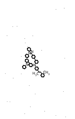 C/C(=C\c1ccccc1C)c1ccc(N(c2cccc(-c3ccc(-c4nc5ccccc5n4-c4ccccc4)cc3)c2)c2ccc3c(c2)c2ccccc2n3-c2ccccc2)cc1